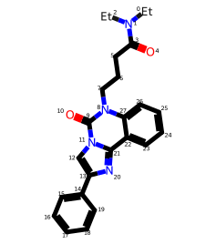 CCN(CC)C(=O)CCCn1c(=O)n2cc(-c3ccccc3)nc2c2ccccc21